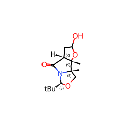 CC(C)(C)[C@@H]1OC[C@]2(C)N1C(=O)[C@@H]1CC(O)O[C@@]12C